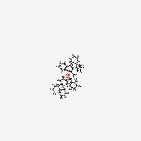 CCC1(CC)c2ccccc2-c2c1c1c(c3ccccc23)OC(c2ccccc2)(c2ccc3c(c2)-c2cccc4c2C3CCC4)C=C1